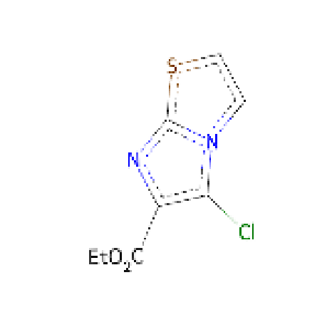 CCOC(=O)c1nc2sccn2c1Cl